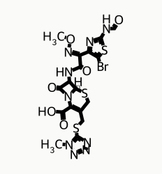 CON=C(C(=O)NC1C(=O)N2C(C(=O)O)=C(CSc3nnnn3C)CS[C@@H]12)c1nc(NC=O)sc1Br